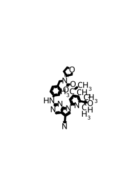 CC(C)(C)OC(=O)N(Cc1ccc(Nc2ncc3c(C#N)cn(-c4cccc(C(C)(C)O)n4)c3n2)cc1)[C@@H]1CCOC1